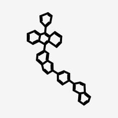 c1ccc(-c2c3ccccc3c(-c3ccc4ccc(-c5ccc(-c6ccc7ccccc7c6)cc5)cc4c3)c3ccccc23)cc1